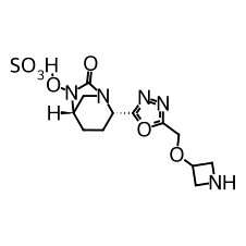 O=C1N2C[C@H](CC[C@H]2c2nnc(COC3CNC3)o2)N1OS(=O)(=O)O